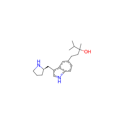 CC(C)C(C)(O)CCc1ccc2[nH]cc(C[C@H]3CCCN3)c2c1